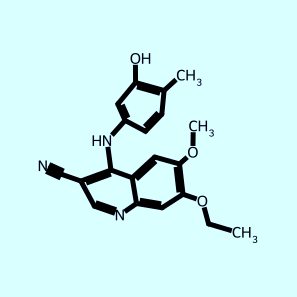 CCOc1cc2ncc(C#N)c(Nc3ccc(C)c(O)c3)c2cc1OC